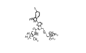 CC(C)(C)NC(=O)C1=CC(COCC[Si](C)(C)C)c2ncc(-c3n[nH]c4cc(F)ccc34)nc21